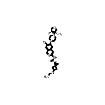 CCOC1CC2(C1)C[C@H]2C(=O)Nc1cc2cc(N3CCN([C@@]4(C)COC[C@H]4F)CC3)c(Cl)cc2cn1